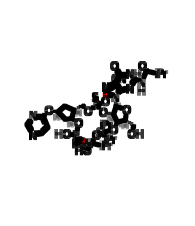 CC(C)C(=O)Nc1nc2c(ncn2[C@@H]2O[C@H](CO)[C@@H](O[Si](O[Si](O)(C(C)C)C(C)C)(C(C)C)C(C)C)[C@@H]2OP(=S)(OCCC#N)OC[C@H]2C[C@@H](Oc3ccncn3)C[C@@H]2O[PH](=O)O)c(=O)[nH]1